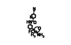 C[C@@]1(c2cc(NC(=O)c3ccc(C#N)cn3)ccc2F)CCOCC(N)=N1